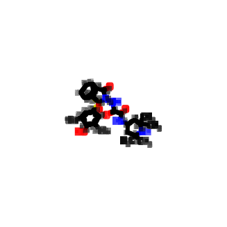 CC1(C)CC(NC(=O)C(=O)NN2C(=O)C3C4CCC(C(Sc5cc(C(C)(C)C)c(O)c(C(C)(C)C)c5)C4)C3C2=O)CC(C)(C)N1